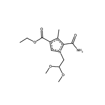 CCOC(=O)c1cn(CC(OC)OC)c(C(N)=O)c1C